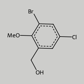 COc1c(Br)cc(Cl)cc1CO